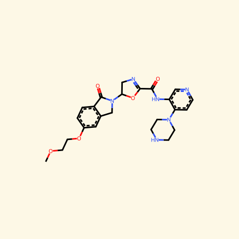 COCCOc1ccc2c(c1)CN(C1CN=C(C(=O)Nc3cnccc3N3CCNCC3)O1)C2=O